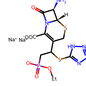 CCOP(=O)([O-])CC(Sc1nnn[nH]1)C1=C(C(=O)[O-])N2C(=O)[C@@H](N)[C@@H]2SC1.[Na+].[Na+]